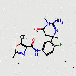 Cc1nc(C(=O)Nc2ccc(F)c(C3(C)CC(=O)N(C)C(N)=N3)c2)c(C(F)(F)F)o1